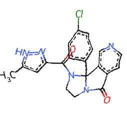 Cc1cc(C(=O)N2CCN3C(=O)c4ccncc4C23c2ccc(Cl)cc2)n[nH]1